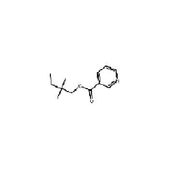 CCC(C)(C)COC(=O)c1cccnc1